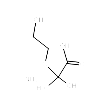 CC(O)(OCCO)C(=O)O.N